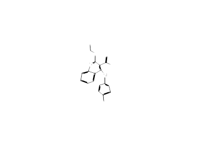 CCSc1nc2ccccc2c(Nc2ccc(C)cc2)c1C(C)=O